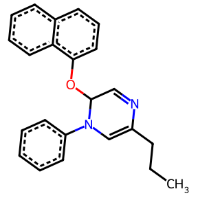 CCCC1=CN(c2ccccc2)C(Oc2cccc3ccccc23)C=N1